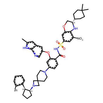 Cc1cc2cc(Oc3cc(N4CCC5(CC4)CN([C@H]4CCC[C@H]4c4ccccc4C(C)C)C5)ccc3C(=O)NS(=O)(=O)c3cc4c(c([N+](=O)[O-])c3)N[C@@H](C3CCC(C)(C)CC3)CO4)cnc2[nH]1